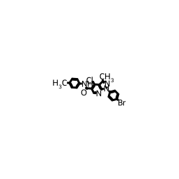 Cc1ccc(NC(=O)c2cnc3c(c(C)nn3-c3ccc(Br)cc3)c2Cl)cc1